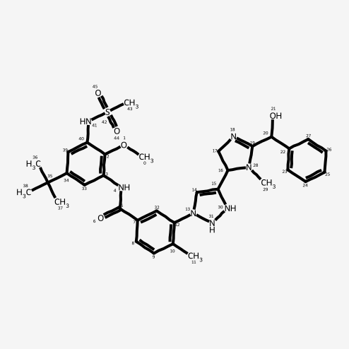 COc1c(NC(=O)c2ccc(C)c(N3C=C(C4CN=C(C(O)c5ccccc5)N4C)NN3)c2)cc(C(C)(C)C)cc1NS(C)(=O)=O